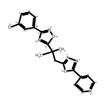 CC(C)(Cc1nnc(-c2ccncc2)o1)c1nc(-c2cccc(Cl)c2)no1